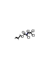 C=CCOC(=O)/C(Cl)=C(\Cl)C(Cl)Cl